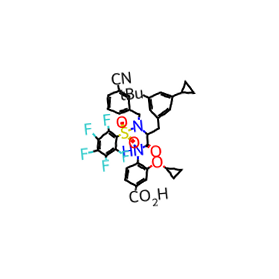 CC(C)(C)c1cc(CC(C(=O)Nc2ccc(C(=O)O)cc2OC2CC2)N(Cc2cccc(C#N)c2)S(=O)(=O)c2c(F)c(F)c(F)c(F)c2F)cc(C2CC2)c1